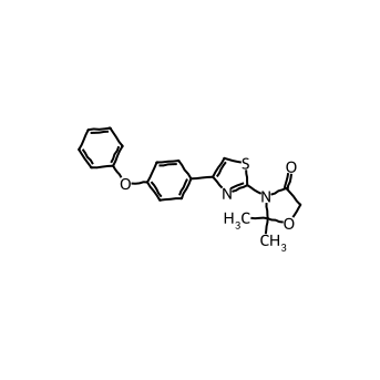 CC1(C)OCC(=O)N1c1nc(-c2ccc(Oc3ccccc3)cc2)cs1